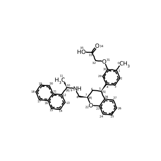 Cc1ccc([C@@H]2C[C@H](CN[C@H](C)c3cccc4ccccc34)Oc3ccccc32)cc1OCC(=O)O